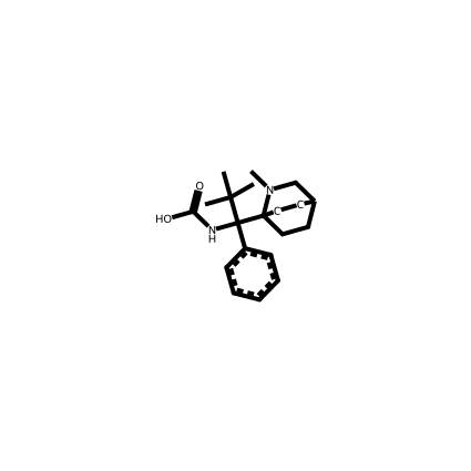 CN1CC2CCC1(C(NC(=O)O)(c1ccccc1)C(C)(C)C)CC2